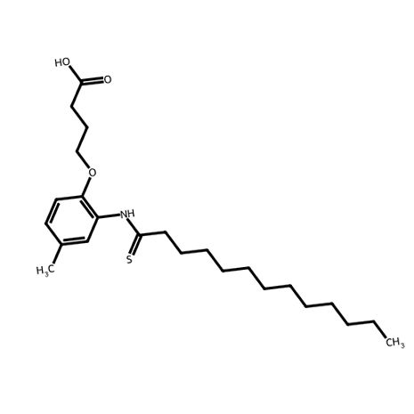 CCCCCCCCCCCCC(=S)Nc1cc(C)ccc1OCCCC(=O)O